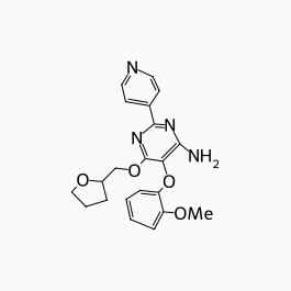 COc1ccccc1Oc1c(N)nc(-c2ccncc2)nc1OCC1CCCO1